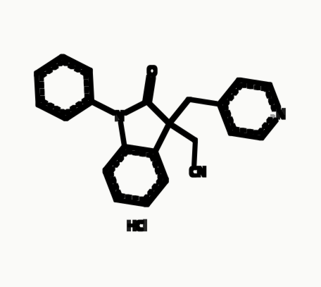 Cl.N#CCC1(Cc2ccncc2)C(=O)N(c2ccccc2)c2ccccc21